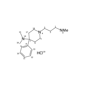 CNCCCN1CCC(c2ccccc2)(N(C)C)CC1.Cl